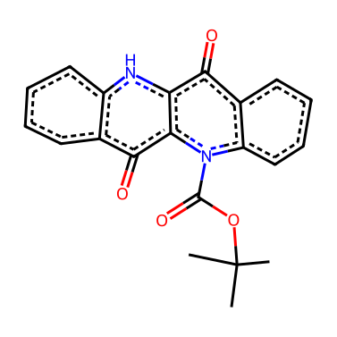 CC(C)(C)OC(=O)n1c2ccccc2c(=O)c2[nH]c3ccccc3c(=O)c21